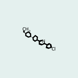 C=C[C@H]1CC[C@H](C2CCC(c3ccc(-c4ccc(Cl)cc4)nc3)CC2)CC1